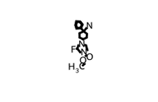 CCOC(=O)N1CCN(C2CCC(C#N)(c3ccccc3)CC2)CC(F)C1